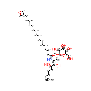 CCCCCCCCCCCCCC[C@@H](O)[C@@H](O)[C@H](COC1OC(CO)C(O)C(O)C1O)NC(=O)CCCCCCCCCCCCCCCCC1COC1